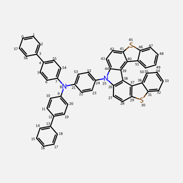 c1ccc(-c2ccc(N(c3ccc(-c4ccccc4)cc3)c3ccc(-n4c5ccc6sc7ccccc7c6c5c5c6c(ccc54)sc4ccccc46)cc3)cc2)cc1